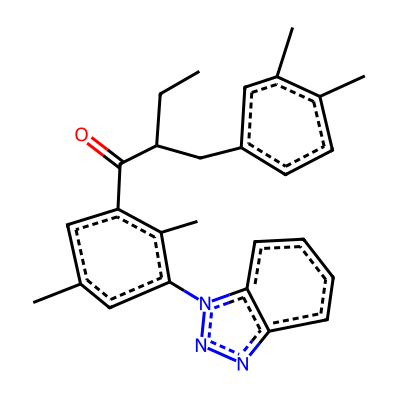 CCC(Cc1ccc(C)c(C)c1)C(=O)c1cc(C)cc(-n2nnc3ccccc32)c1C